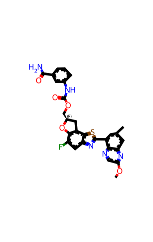 COc1cnc2c(-c3nc4cc(F)c5c(c4s3)C[C@H](COC(=O)Nc3cccc(C(N)=O)c3)O5)cc(C)cc2n1